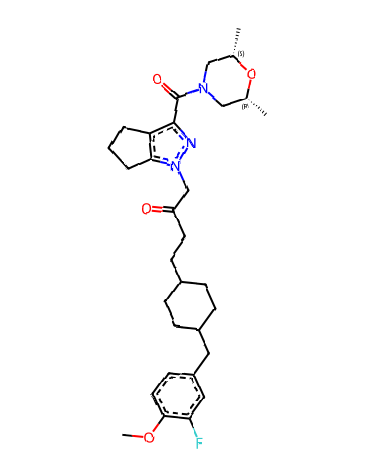 COc1ccc(CC2CCC(CCC(=O)Cn3nc(C(=O)N4C[C@@H](C)O[C@@H](C)C4)c4c3CCC4)CC2)cc1F